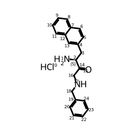 Cl.N[C@@H](Cc1ccc2ccccc2c1)C(=O)CNCc1ccccc1